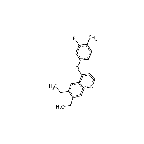 CCc1cc2nccc(Oc3ccc(C)c(F)c3)c2cc1CC